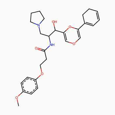 COc1ccc(OCCC(=O)NC(CN2CCCC2)C(O)C2=COC=C(C3=CC=CCC3)O2)cc1